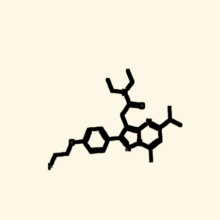 CCN(CC)C(=O)Cc1c(-c2ccc(OCCF)cc2)nn2c(C)cc(C(C)C)nc12